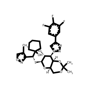 Cc1conc1[C@@H](S[C@@H]1O[C@@H]2COC(C)(C)O[C@@H]2[C@H](n2cc(-c3cc(F)c(F)c(F)c3)nn2)[C@H]1O)C1(O)CCCCC1